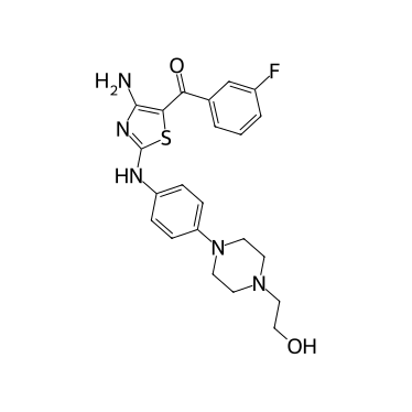 Nc1nc(Nc2ccc(N3CCN(CCO)CC3)cc2)sc1C(=O)c1cccc(F)c1